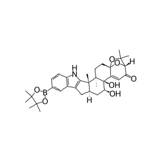 CC1(C)O[C@@]23CC[C@]4(C)[C@@]5(C)c6[nH]c7ccc(B8OC(C)(C)C(C)(C)O8)cc7c6C[C@@H]5C[C@H](O)[C@@]4(O)C2=CC(=O)[C@@H]1O3